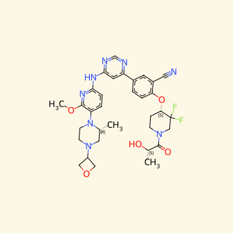 COc1nc(Nc2cc(-c3ccc(O[C@H]4CCN(C(=O)[C@H](C)O)CC4(F)F)c(C#N)c3)ncn2)ccc1N1CCN(C2COC2)C[C@H]1C